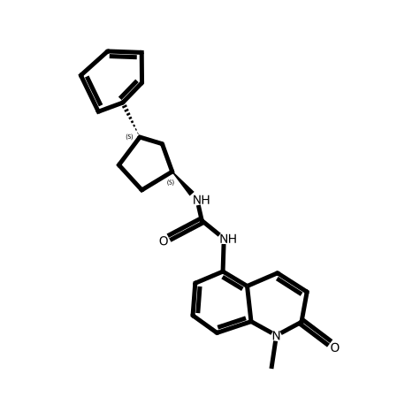 Cn1c(=O)ccc2c(NC(=O)N[C@H]3CC[C@H](c4ccccc4)C3)cccc21